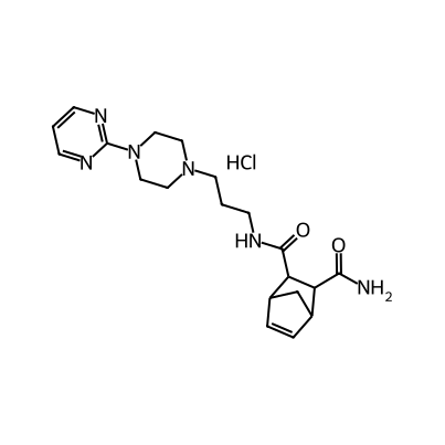 Cl.NC(=O)C1C2C=CC(C2)C1C(=O)NCCCN1CCN(c2ncccn2)CC1